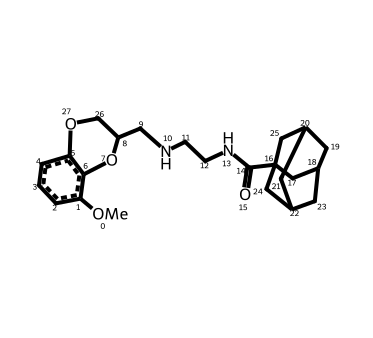 COc1cccc2c1OC(CNCCNC(=O)C13CC4CC(CC(C4)C1)C3)CO2